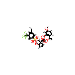 CCC(COS(=O)(=O)c1cc(C)cc(C(F)(F)F)c1)(C(C)=O)C(=O)OC(C)c1ccc(OC)cc1